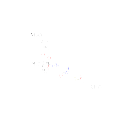 COc1ccc(CC2OCC(C)(C)[C@H](C(=O)NCCC(=O)NCCSC(=O)CCCC=O)O2)cc1